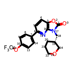 O=c1oc2ccc(-c3ccc(OC(F)(F)F)cc3)nc2n1C[C@H]1CCCOC1